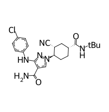 CC(C)(C)NC(=O)[C@@H]1CC[C@@H](n2cc(C(N)=O)c(Nc3ccc(Cl)cc3)n2)[C@H](C#N)C1